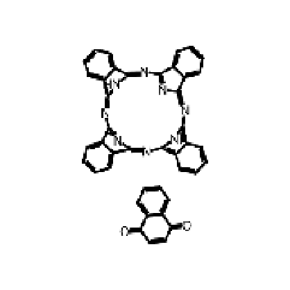 O=C1C=CC(=O)c2ccccc21.c1ccc2c(c1)-c1nc-2nc2[nH]c(nc3nc(nc4[nH]c(n1)c1ccccc41)-c1ccccc1-3)c1ccccc21